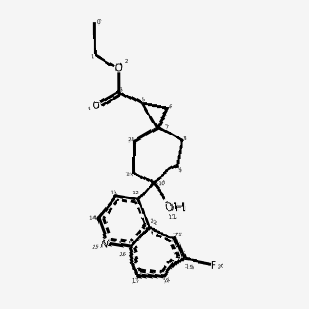 CCOC(=O)C1CC12CCC(O)(c1ccnc3ccc(F)cc13)CC2